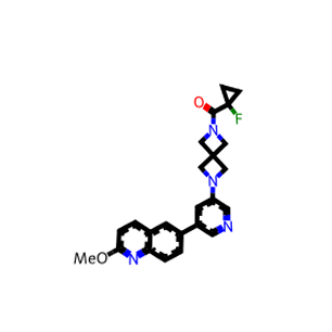 COc1ccc2cc(-c3cncc(N4CC5(CN(C(=O)C6(F)CC6)C5)C4)c3)ccc2n1